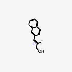 OC/C(F)=C/c1ccc2cccnc2c1